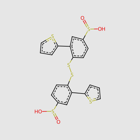 O=S(O)c1ccc(SSc2ccc(S(=O)O)cc2-c2cccs2)c(-c2cccs2)c1